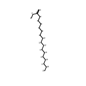 C=C(CC)CCCCCCCCCCCCCCCC